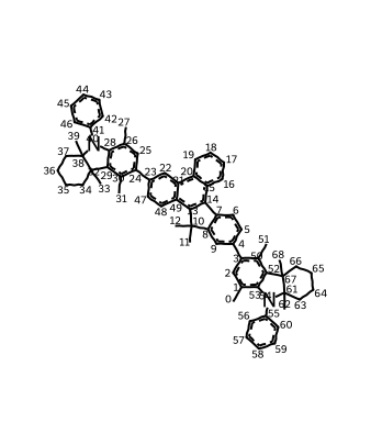 Cc1cc(-c2ccc3c(c2)C(C)(C)c2c-3c3ccccc3c3cc(-c4cc(C)c5c(c4C)C4(C)CCCCC4(C)N5c4ccccc4)ccc23)c(C)c2c1N(c1ccccc1)C1(C)CCCCC21C